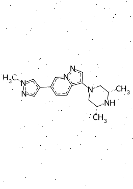 C[C@@H]1CN(c2cnn3cc(-c4cnn(C)c4)ccc23)C[C@H](C)N1